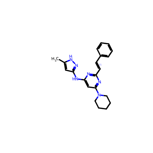 Cc1cc(Nc2cc(N3CCCCC3)nc(/C=C/c3ccccc3)n2)n[nH]1